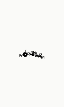 CC(C)C(=O)CCCN(N)/C=C(\N)COc1ccc(C(C)C)cc1F